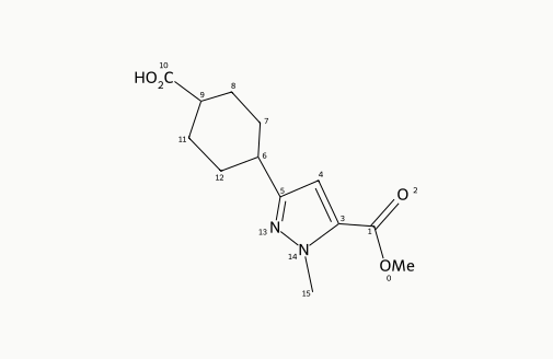 COC(=O)c1cc(C2CCC(C(=O)O)CC2)nn1C